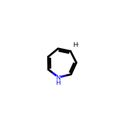 C1=CC=CNC=C1.[H]